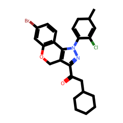 CC1C=C(Cl)C(n2nc(C(=O)CC3CCCCC3)c3c2-c2ccc(Br)cc2OC3)=CC1